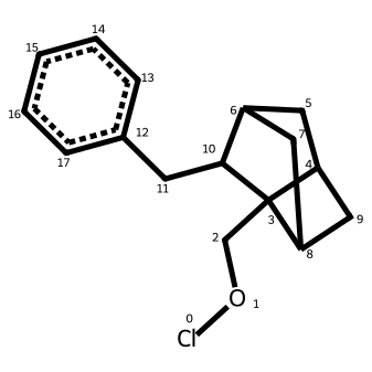 ClOCC12C3CC(CC1C3)C2Cc1ccccc1